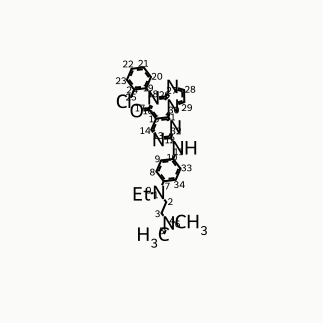 CCN(CCN(C)C)c1ccc(Nc2ncc3c(=O)n(-c4ccccc4Cl)c4nccn4c3n2)cc1